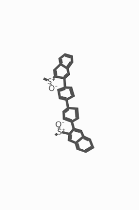 C[S+]([O-])c1cc2ccccc2cc1-c1ccc(-c2ccc(-c3cc4ccccc4cc3[S+](C)[O-])cc2)cc1